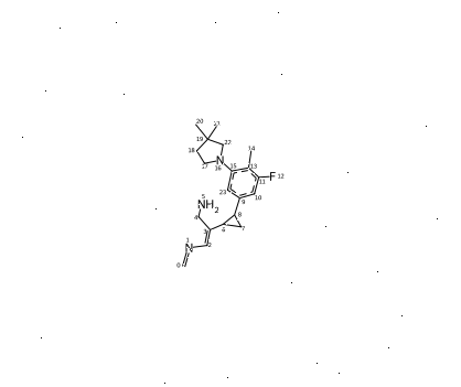 C=N/C=C(\CN)C1CC1c1cc(F)c(C)c(N2CCC(C)(C)C2)c1